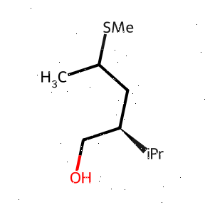 CSC(C)C[C@H](CO)C(C)C